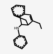 CCC1=Cc2cccc3c2C(Nc2ccccc2)C1C3